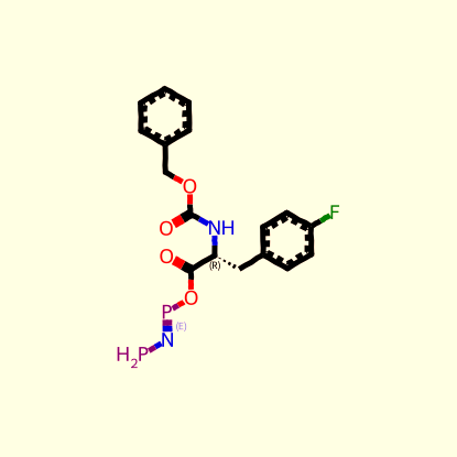 O=C(N[C@H](Cc1ccc(F)cc1)C(=O)O/P=N/P)OCc1ccccc1